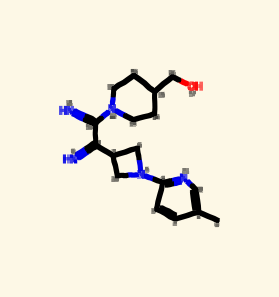 Cc1ccc(N2CC(C(=N)C(=N)N3CCC(CO)CC3)C2)nc1